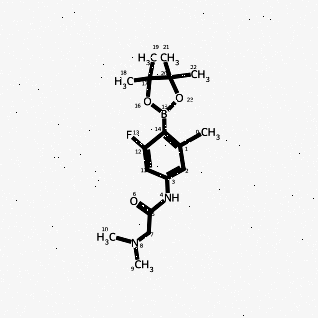 Cc1cc(NC(=O)CN(C)C)cc(F)c1B1OC(C)(C)C(C)(C)O1